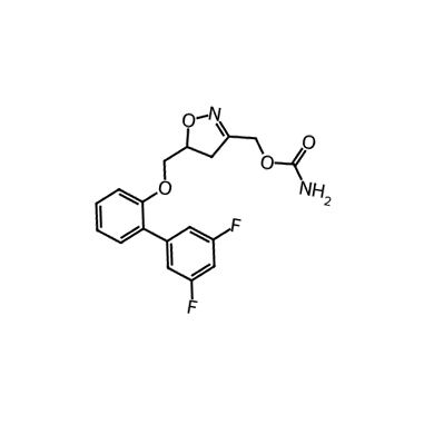 NC(=O)OCC1=NOC(COc2ccccc2-c2cc(F)cc(F)c2)C1